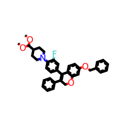 COC(OC)C1CCN(c2ccc(C3=C(c4ccccc4)COc4cc(OCc5ccccc5)ccc43)cc2F)CC1